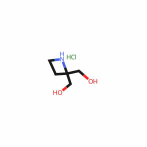 Cl.OCC1(CO)CCN1